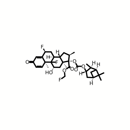 C[C@@H]1[C@@H](OC(=O)O[C@@]2(C(=O)OCF)[C@H](C)C[C@H]3[C@@H]4C[C@H](F)C5=CC(=O)C=C[C@]5(C)C4(F)[C@@H](O)C[C@@]32C)C[C@H]2C[C@@H]1C2(C)C